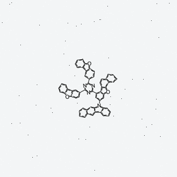 c1ccc2cc3c(cc2c1)c1ccccc1n3-c1cc(-c2nc(-c3ccc4oc5ccccc5c4c3)nc(-c3ccc4oc5ccccc5c4c3)n2)c2c(c1)oc1c3ccccc3ccc12